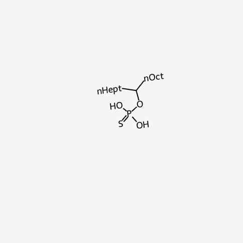 CCCCCCCCC(CCCCCCC)OP(O)(O)=S